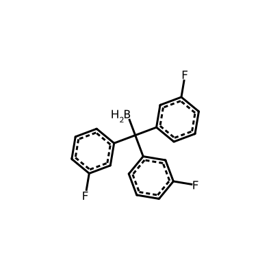 BC(c1cccc(F)c1)(c1cccc(F)c1)c1cccc(F)c1